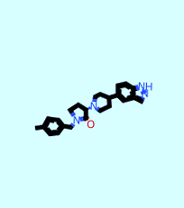 Cc1ccc(CN2CC[C@@H](N3CCC(c4ccc5[nH]ncc5c4)CC3)C2=O)cc1